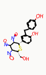 O=NC1[C@@H](N=O)[C@H](c2ccc(O)c(Cc3ccc(O)cc3)c2)S[C@H](CO)[C@H]1N=O